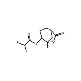 CC12CC(CCC1OC(=O)C(F)F)C(=O)O2